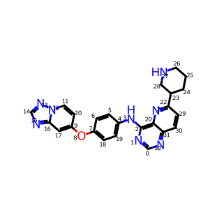 c1nc(Nc2ccc(Oc3ccn4ncnc4c3)cc2)c2nc(C3CCCNC3)ccc2n1